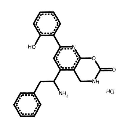 Cl.NC(Cc1ccccc1)c1cc(-c2ccccc2O)nc2c1CNC(=O)O2